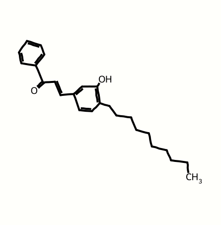 CCCCCCCCCCc1ccc(C=CC(=O)c2ccccc2)cc1O